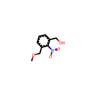 COCc1cccc(CO)c1[N+](=O)[O-]